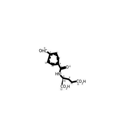 O=Cc1ccc(C(=O)N[C@@H](CCC(=O)O)C(=O)O)cc1